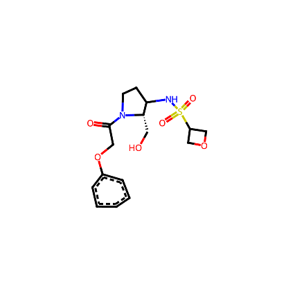 O=C(COc1ccccc1)N1CCC(NS(=O)(=O)C2COC2)[C@@H]1CO